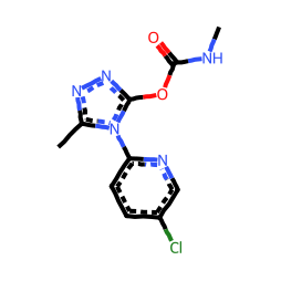 CNC(=O)Oc1nnc(C)n1-c1ccc(Cl)cn1